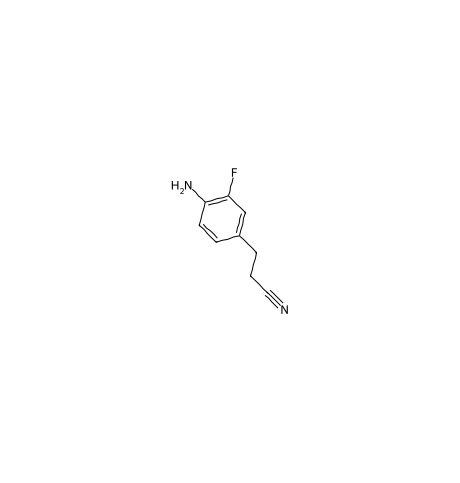 N#CCCc1ccc(N)c(F)c1